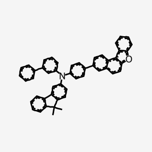 CC1(C)c2ccccc2-c2cc(N(c3ccc(-c4ccc5c(ccc6oc7ccccc7c65)c4)cc3)c3cccc(-c4ccccc4)c3)ccc21